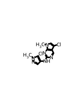 Cn1ncc(Nc2ncc3c(Cl)cn(C)c3n2)c1Cl